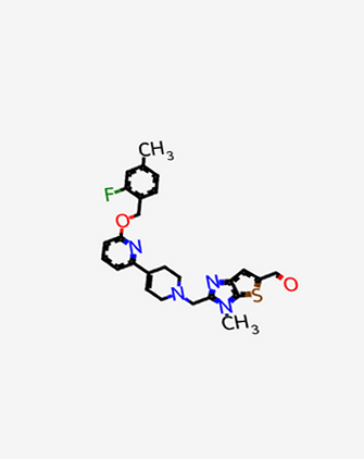 Cc1ccc(COc2cccc(C3=CCN(Cc4nc5cc(C=O)sc5n4C)CC3)n2)c(F)c1